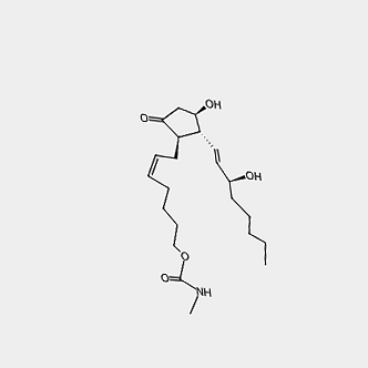 CCCCC[C@H](O)/C=C/[C@H]1[C@H](O)CC(=O)[C@@H]1C/C=C\CCCCOC(=O)NC